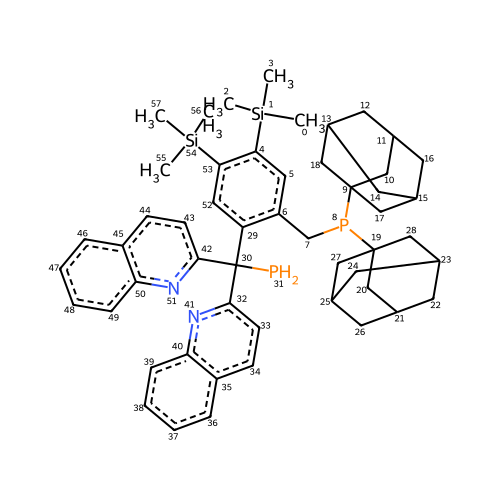 C[Si](C)(C)c1cc(CP(C23CC4CC(CC(C4)C2)C3)C23CC4CC(CC(C4)C2)C3)c(C(P)(c2ccc3ccccc3n2)c2ccc3ccccc3n2)cc1[Si](C)(C)C